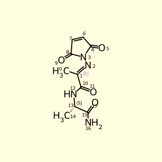 C/C(=N\N1C(=O)C=CC1=O)C(=O)N[C@@H](C)C(N)=O